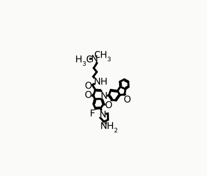 CN(C)CCCCNC(=O)c1cn2c3cc4c(cc3oc3c(N5CC[C@H](N)C5)c(F)cc(c1=O)c32)c(=O)c1ccccc14